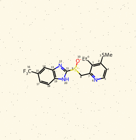 CCc1c(SC)ccnc1C[S+]([O-])c1nc2cc(C(F)(F)F)ccc2[nH]1